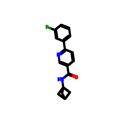 O=C(NC12CC(C1)C2)c1ccc(-c2cccc(F)c2)nc1